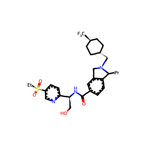 CCS(=O)(=O)c1ccc([C@H](CO)NC(=O)c2ccc3c(c2)CN(C[C@H]2CC[C@H](C(F)(F)F)CC2)C3C(C)C)nc1